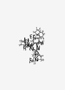 CCc1cccc2cccc(-c3ncc4c(N5C[C@H]6CC[C@@H](C5)N6)nc(OC[C@@]56CCCN5C[C@H](F)C6)nc4c3F)c12